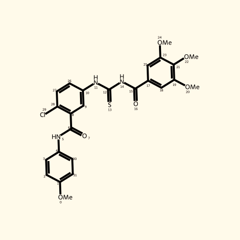 COc1ccc(NC(=O)c2cc(NC(=S)NC(=O)c3cc(OC)c(OC)c(OC)c3)ccc2Cl)cc1